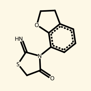 N=C1SCC(=O)N1c1cccc2c1OCC2